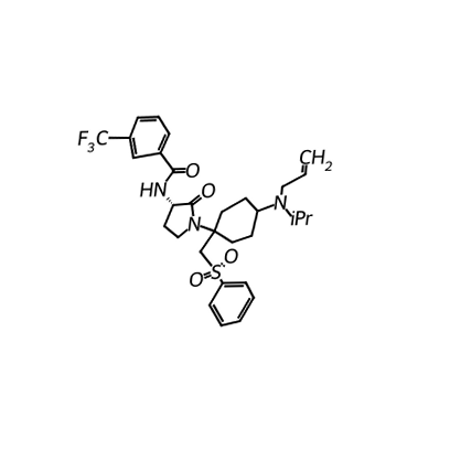 C=CCN(C(C)C)C1CCC(CS(=O)(=O)c2ccccc2)(N2CC[C@H](NC(=O)c3cccc(C(F)(F)F)c3)C2=O)CC1